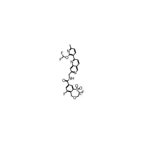 Cc1ccc(-c2ccc3cnc(CNC(=O)c4cc(F)c5c(c4)S(=O)(=O)[C@@H](F)COC5)cc3n2)c(OC(F)F)n1